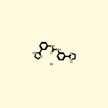 O=C(Nc1cccc(C2=NCCN2)c1)Nc1cccc(C2=NCCN2)c1.[W]